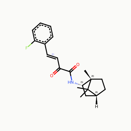 CC1(C)[C@@H]2CC[C@@]1(C)[C@@H](NC(=O)C(=O)/C=C/c1ccccc1F)C2